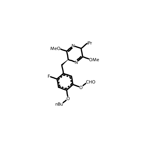 CCCCOc1cc(F)c(C[C@@H]2N=C(OC)C(C(C)C)N=C2OC)cc1OC=O